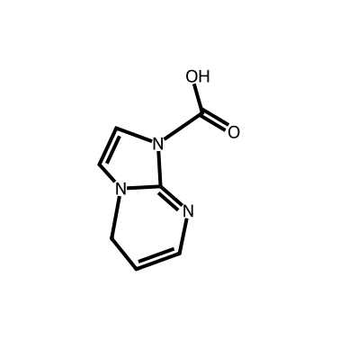 O=C(O)N1C=CN2CC=CN=C21